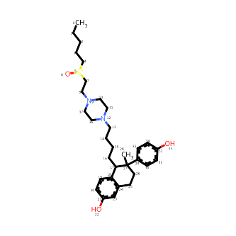 CCCCC[S+]([O-])CCN1CCN(CCCCC2c3ccc(O)cc3CCC2(C)c2ccc(O)cc2)CC1